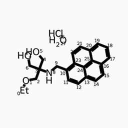 CCOCC(CO)(CO)NCc1ccc2ccc3cccc4ccc1c2c34.Cl.O